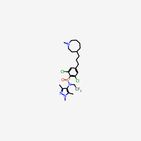 Cc1nn(C)c(C)c1N(CC(F)(F)F)[S+]([O-])c1c(Cl)cc(CCCC2CCCCN(C)CC2)cc1Cl